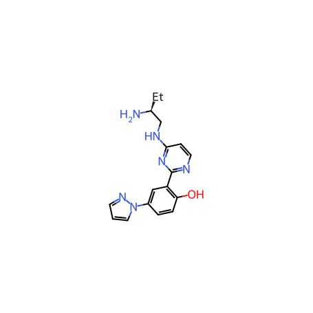 CC[C@H](N)CNc1ccnc(-c2cc(-n3cccn3)ccc2O)n1